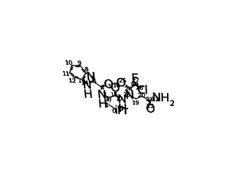 CC(C)C[C@H](NC(=O)c1nc2ccccc2[nH]1)C(=O)NN(CCC(N)=O)C(=O)[C@H](F)Cl